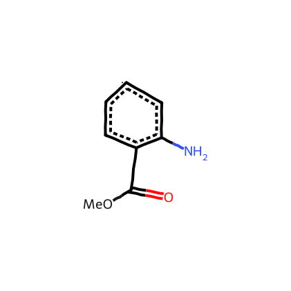 COC(=O)c1cc[c]cc1N